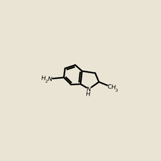 CC1Cc2ccc(N)cc2N1